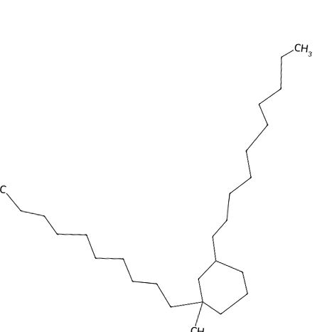 CCCCCCCCCCC1CCCC(C)(CCCCCCCCCC)C1